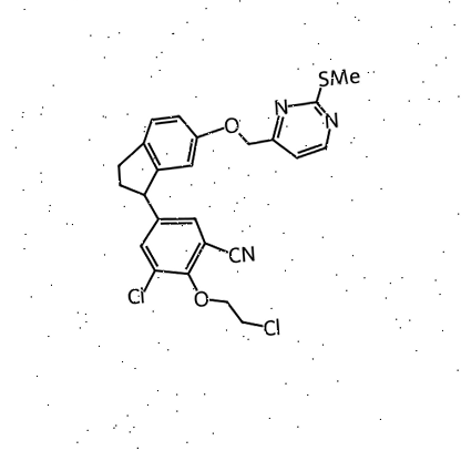 CSc1nccc(COc2ccc3c(c2)C(c2cc(Cl)c(OCCCl)c(C#N)c2)CC3)n1